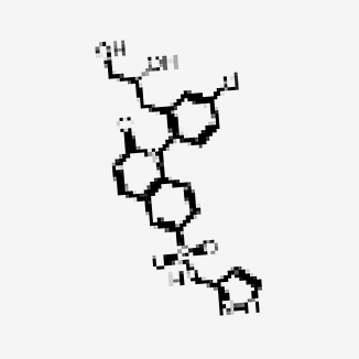 O=c1ccc2cc(S(=O)(=O)Nc3ccon3)ccc2n1-c1ccc(Cl)cc1C[C@@H](O)CO